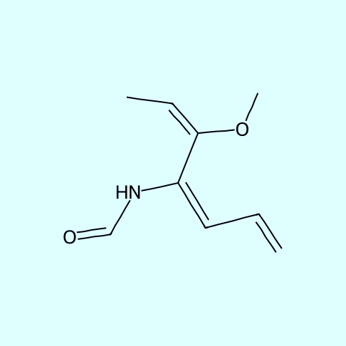 C=C/C=C(NC=O)\C(=C/C)OC